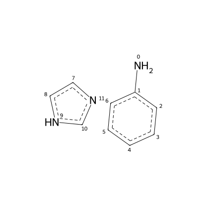 Nc1ccccc1.c1c[nH]cn1